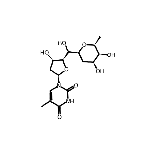 Cc1cn([C@H]2C[C@H](O)[C@@H](C(O)[C@@H]3C[C@H](O)[C@H](O)[C@H](C)O3)O2)c(=O)[nH]c1=O